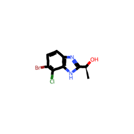 C[C@H](O)c1nc2ccc(Br)c(Cl)c2[nH]1